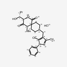 CCCCN1C(=O)[C@@H]([C@H](O)C(C)C)NC(=O)C12CCN(Cc1c(C)nn(-c3ccccc3)c1Cl)CC2.Cl